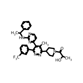 Cc1c(C2CCN(C(=O)C(C)O)CC2)nnc(-c2cccc(C(F)(F)F)c2)c1-c1ccnc(NC(C)c2ccccc2)n1